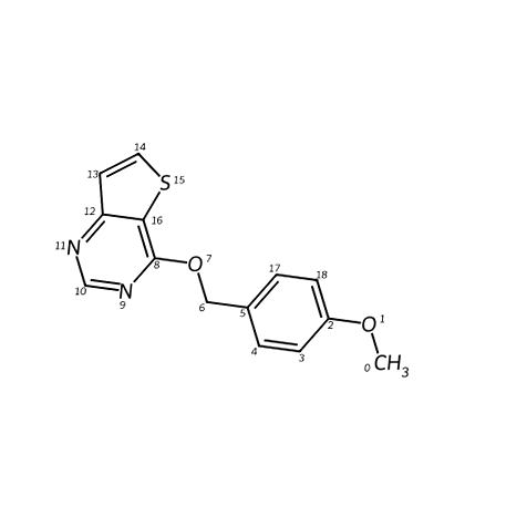 COc1ccc(COc2ncnc3ccsc23)cc1